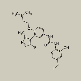 CN(C)CCOc1ccc(NC(=O)Nc2ccc(CI)cc2O)cc1-c1c(F)cnn1C